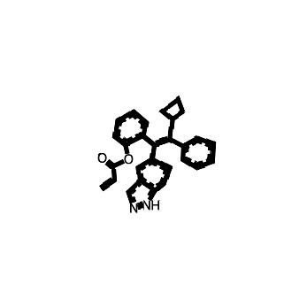 C=CC(=O)Oc1ccccc1/C(=C(/c1ccccc1)C1CCC1)c1ccc2[nH]ncc2c1